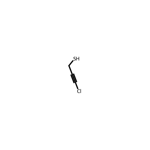 SCC#CCl